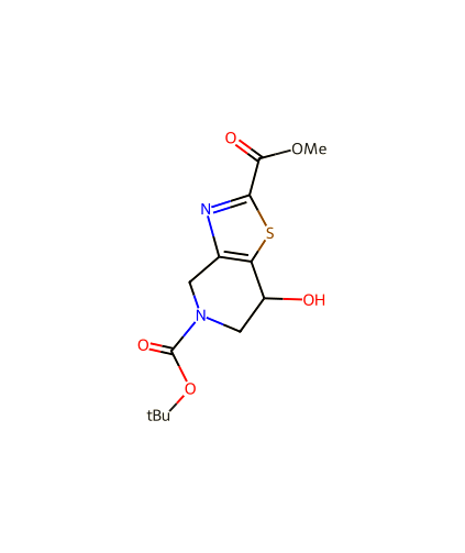 COC(=O)c1nc2c(s1)C(O)CN(C(=O)OC(C)(C)C)C2